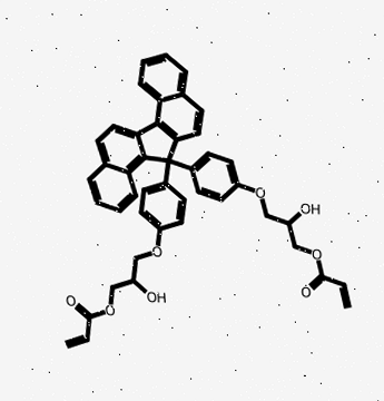 C=CC(=O)OCC(O)COc1ccc(C2(c3ccc(OCC(O)COC(=O)C=C)cc3)c3ccc4ccccc4c3-c3ccc4ccccc4c32)cc1